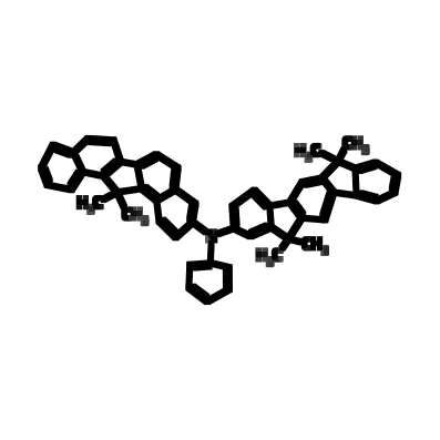 CC1(C)c2ccccc2-c2cc3c(cc21)-c1ccc(N(c2ccccc2)c2ccc4c5c(ccc4c2)-c2ccc4ccccc4c2C5(C)C)cc1C3(C)C